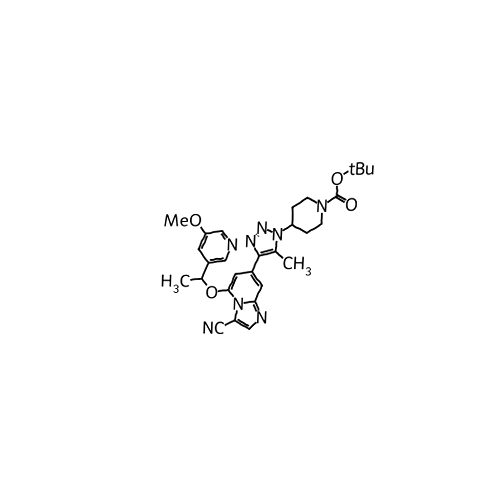 COc1cncc(C(C)Oc2cc(-c3nnn(C4CCN(C(=O)OC(C)(C)C)CC4)c3C)cc3ncc(C#N)n23)c1